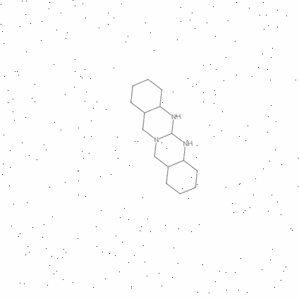 C1CCC2NC3NC4CCCCC4CN3CC2C1